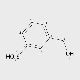 O=S(=O)(O)c1cccc(CO)c1